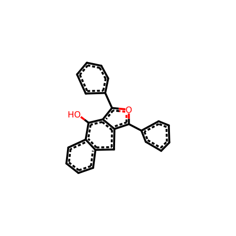 Oc1c2ccccc2cc2c(-c3ccccc3)oc(-c3ccccc3)c12